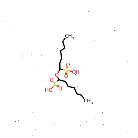 CCCCCCC(OC(CCCCCC)S(=O)(=O)O)S(=O)(=O)O